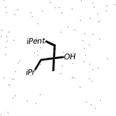 CCCC(C)CC(C)(O)CC(C)C